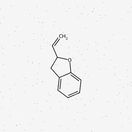 C=CC1Cc2ccccc2O1